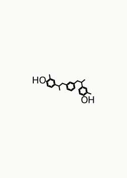 Cc1cc(C(C)Cc2cccc(CC(C)c3ccc(O)c(C)c3)c2)ccc1O